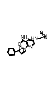 NC(=O)c1cc(NC[SH](=O)=O)cnc1-n1ccc(-c2ccccc2)n1